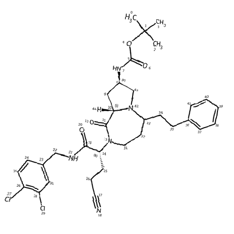 CC(C)(C)OC(=O)N[C@@H]1C[C@H]2C(=O)N([C@H](CCC#N)C(=O)NCc3ccc(Cl)c(Cl)c3)CCC(CCc3ccccc3)N2C1